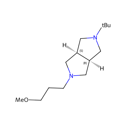 COCCCN1C[C@@H]2CN(C(C)(C)C)C[C@@H]2C1